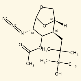 CC(=O)OC1[C@H](N=[N+]=[N-])C2OC[C@@H](O2)[C@H]1CC(C)(C)[Si](C)(C)O